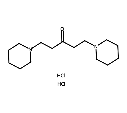 Cl.Cl.O=C(CCN1CCCCC1)CCN1CCCCC1